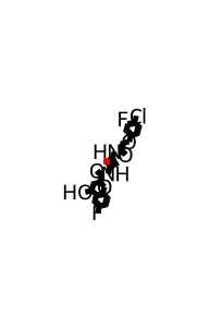 O=C(COc1ccc(Cl)c(F)c1)NC12CC(NC(=O)C3CC(O)c4cc(F)ccc4O3)(C1)C2